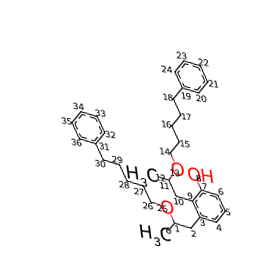 CC(Cc1cccc(O)c1CC(C)OCCCCCc1ccccc1)OCCCCCc1ccccc1